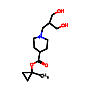 CC1(OC(=O)C2CCN(CC(CO)CO)CC2)CC1